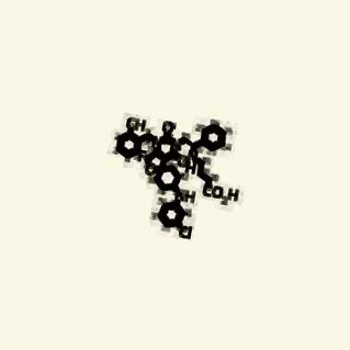 Cc1cccc(F)c1Cn1c2c(c(=O)n(C[C@H](NCCCC(=O)O)c3ccccc3)c1=O)C1(CCC(Nc3cccc(Cl)c3)CC1)OC2